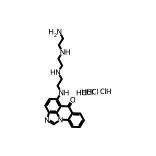 Cl.Cl.Cl.Cl.NCCNCCNCCNc1ccc2ncn3c4ccccc4c(=O)c1c23